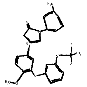 COc1ccc([C@H]2CC(=O)N(c3cccc(N)c3)C2)cc1Oc1cccc(OC(C)(F)F)c1